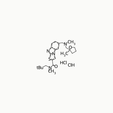 CN(Cc1ccc2nc3sc(C(=O)N(C)CC(C)(C)C)cn3c2c1)C[C@@]1(C)CCCO1.Cl.Cl